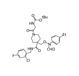 CCc1ccc(N(C=O)OCC2(C(=O)NCc3ccc(F)cc3Cl)CCN(C(=O)CNC(=O)OC(C)(C)C)CC2)cc1